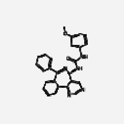 COc1cccc(NC(=O)N[C@@H]2N=C(c3ccccc3)c3ccccc3-c3ncncc32)c1